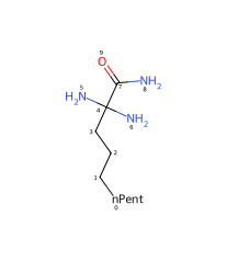 CCCCCCCCC(N)(N)C(N)=O